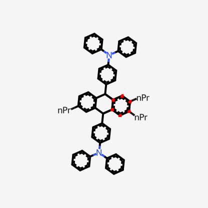 CCCc1ccc2c(c1)C1(c3ccc(N(c4ccccc4)c4ccccc4)cc3)c3ccc(CCC)cc3C2(c2ccc(N(c3ccccc3)c3ccccc3)cc2)c2cc(CCC)ccc21